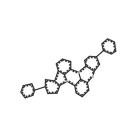 c1ccc(-c2ccc3c(c2)sc2cccc4c2-n3c2cccc3c5cc(-c6ccccc6)ccc5n4c32)cc1